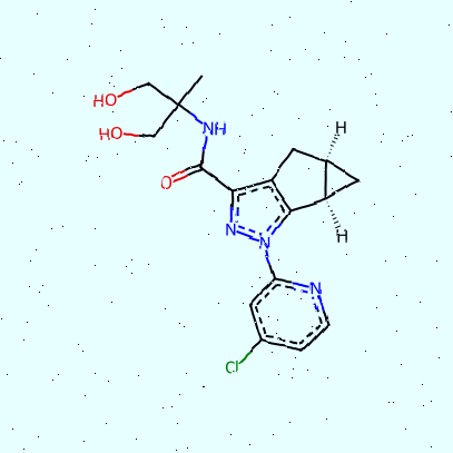 CC(CO)(CO)NC(=O)c1nn(-c2cc(Cl)ccn2)c2c1C[C@H]1C[C@@H]21